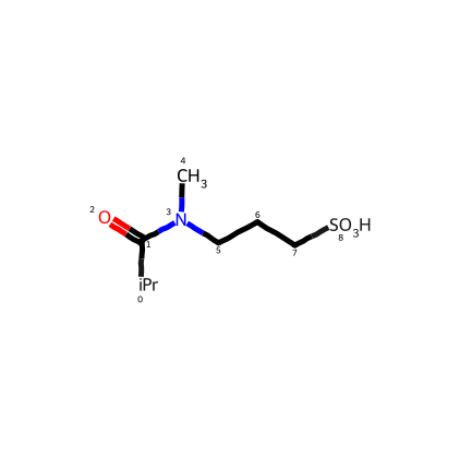 CC(C)C(=O)N(C)CCCS(=O)(=O)O